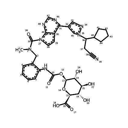 CN(Cc1ccccc1NC(=O)O[C@@H]1O[C@H](C(=O)O)[C@@H](O)[C@H](O)[C@H]1O)C(=O)n1ccc2c(-c3cnn(C(CC#N)C4CCCC4)c3)ncnc21